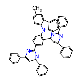 Cc1ccc2c(c1)c1ccccc1n2-c1ccc(-c2nc(-c3ccccc3)cc(-c3ccccc3)n2)cc1-c1cc(-c2ccccc2)nc(-c2ccccc2)n1